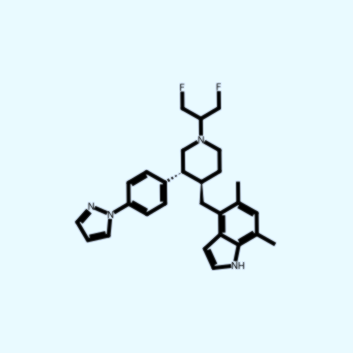 Cc1cc(C)c2[nH]ccc2c1C[C@@H]1CCN(C(CF)CF)C[C@H]1c1ccc(-n2cccn2)cc1